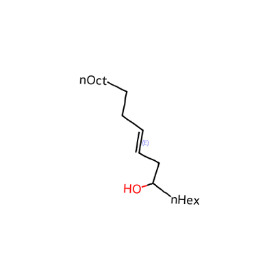 [CH2]CCCCCCCCC/C=C/CC(O)CCCCCC